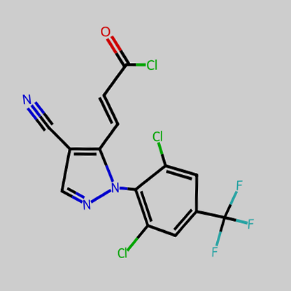 N#Cc1cnn(-c2c(Cl)cc(C(F)(F)F)cc2Cl)c1C=CC(=O)Cl